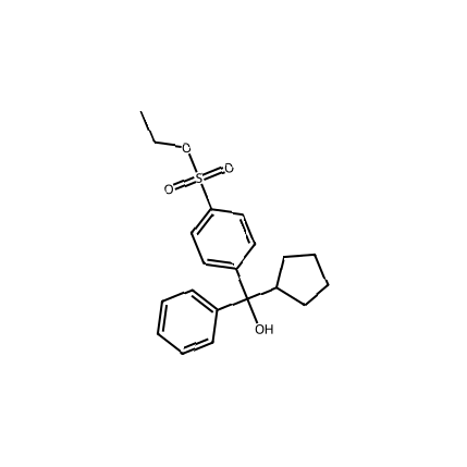 CCOS(=O)(=O)c1ccc(C(O)(c2ccccc2)C2CCCC2)cc1